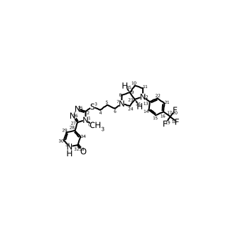 Cn1c(SCCCN2C[C@@H]3CCN(c4ccc(C(F)(F)F)cc4)[C@@H]3C2)nnc1-c1cc[nH]c(=O)c1